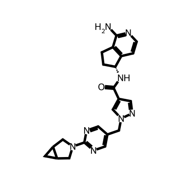 Nc1nccc2c1CC[C@H]2NC(=O)c1cnn(Cc2cnc(N3CC4CC4C3)nc2)c1